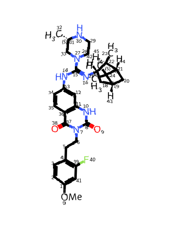 COc1ccc(CCn2c(=O)[nH]c3cc(NC(=N[C@H]4C[C@H]5C[C@@H]([C@@H]4C)C5(C)C)N4CCN[C@@H](C)C4)ccc3c2=O)c(F)c1